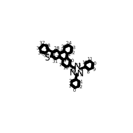 c1ccc(-c2nc(-c3ccccc3)nc(-c3ccc4c(c3)c3ccccc3c3cc5c(cc43)sc3ccccc35)n2)cc1